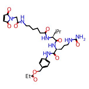 CCC(=O)OCc1ccc(NC(=O)[C@H](CCCNC(N)=O)NC(=O)[C@@H](NC(=O)CCCCCNC(=O)CN2C(=O)C=CC2=O)C(C)C)cc1